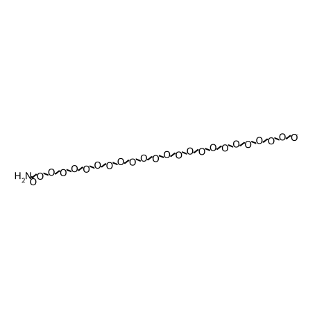 COCCOCCOCCOCCOCCOCCOCCOCCOCCOCCOCCOCCOCCOCCOCCOCCOCCOCCOCCOCCOCCOCCOCC(N)=O